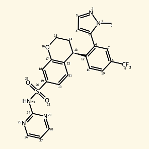 Cn1nccc1-c1cc(C(F)(F)F)ccc1[C@@H]1CCOc2cc(S(=O)(=O)Nc3ncccn3)ccc21